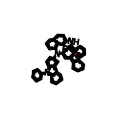 c1ccc(C2Nc3ccc4cccc(N(c5ccc6oc7ccccc7c6c5)c5ccc6c(c5)c5ccccc5n6-c5ccccc5)c4c3O2)cc1